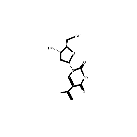 C=C(C)c1cn([C@@H]2C[C@H](O)[C@@H](CO)O2)c(=O)[nH]c1=O